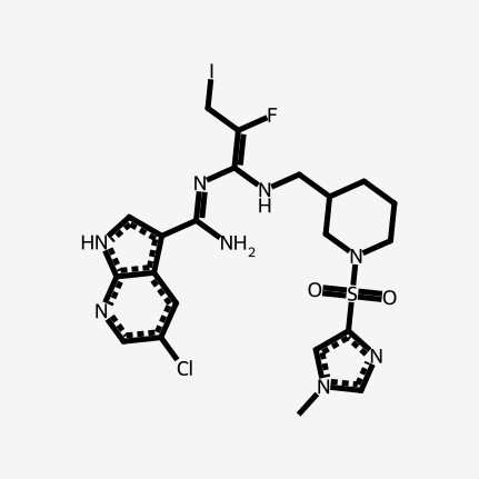 Cn1cnc(S(=O)(=O)N2CCCC(CNC(/N=C(\N)c3c[nH]c4ncc(Cl)cc34)=C(\F)CI)C2)c1